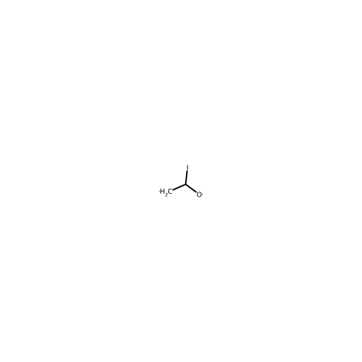 [CH2]C([O])I